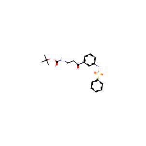 CC(C)(C)OC(=O)NCCC(=O)c1cccc(NS(=O)(=O)c2ccccc2)c1